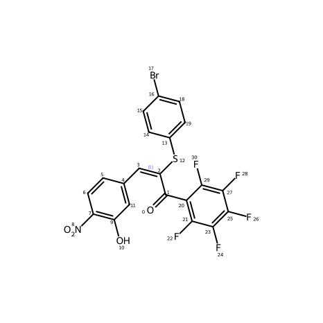 O=C(/C(=C\c1ccc([N+](=O)[O-])c(O)c1)Sc1ccc(Br)cc1)c1c(F)c(F)c(F)c(F)c1F